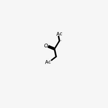 CC(=O)[CH]C(=O)CC(C)=O